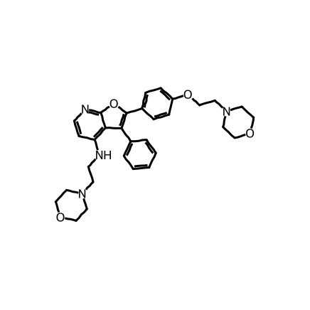 c1ccc(-c2c(-c3ccc(OCCN4CCOCC4)cc3)oc3nccc(NCCN4CCOCC4)c23)cc1